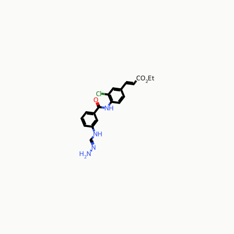 CCOC(=O)C=Cc1ccc(NC(=O)c2cccc(NC=NN)c2)c(Cl)c1